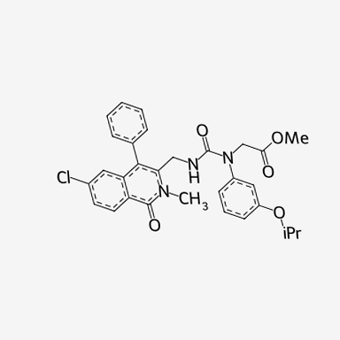 COC(=O)CN(C(=O)NCc1c(-c2ccccc2)c2cc(Cl)ccc2c(=O)n1C)c1cccc(OC(C)C)c1